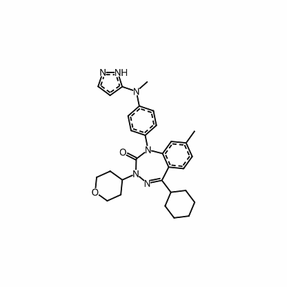 Cc1ccc2c(c1)N(c1ccc(N(C)c3ccn[nH]3)cc1)C(=O)N(C1CCOCC1)N=C2C1CCCCC1